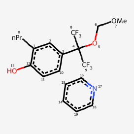 CCCc1cc(C(OCOC)(C(F)(F)F)C(F)(F)F)ccc1O.c1ccncc1